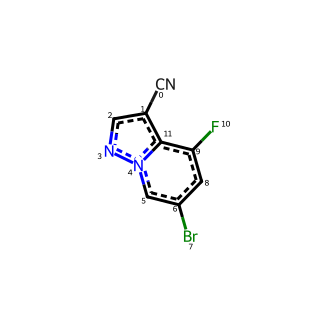 N#Cc1cnn2cc(Br)cc(F)c12